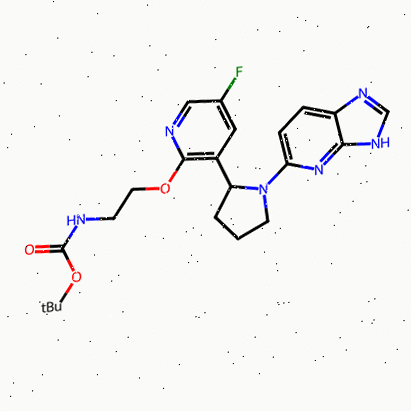 CC(C)(C)OC(=O)NCCOc1ncc(F)cc1C1CCCN1c1ccc2nc[nH]c2n1